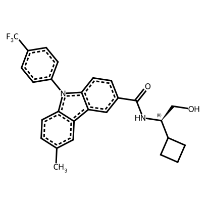 Cc1ccc2c(c1)c1cc(C(=O)N[C@@H](CO)C3CCC3)ccc1n2-c1ccc(C(F)(F)F)cc1